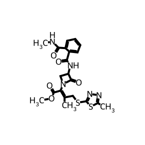 CNC(=O)c1ccccc1C(=O)NC1CN(/C(C(=O)OC)=C(/C)CSc2nnc(C)s2)C1=O